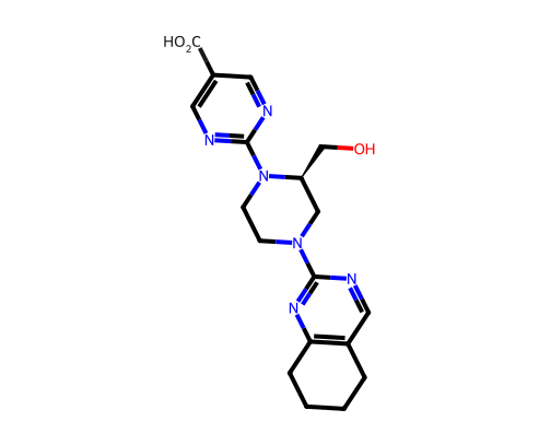 O=C(O)c1cnc(N2CCN(c3ncc4c(n3)CCCC4)C[C@@H]2CO)nc1